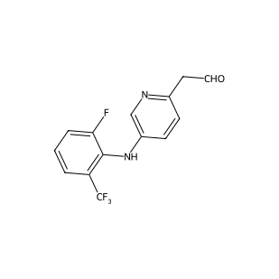 O=CCc1ccc(Nc2c(F)cccc2C(F)(F)F)cn1